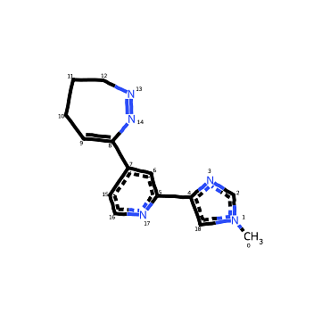 Cn1cnc(-c2cc(C3=CCCCN=N3)ccn2)c1